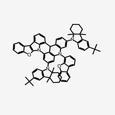 CC(C)(C)c1ccc2c(c1)C1(C)CCCCC1(C)N2c1ccc2c(c1)N(c1cccc3c1oc1ccccc13)c1cc(N3c4ccc(C(C)(C)C)cc4C4(C)CCCCC34C)cc3c1C2c1cccc2c4c5ccccc5oc4n-3c12